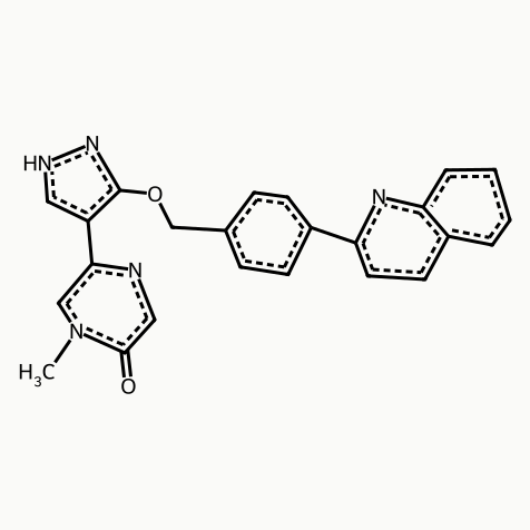 Cn1cc(-c2c[nH]nc2OCc2ccc(-c3ccc4ccccc4n3)cc2)ncc1=O